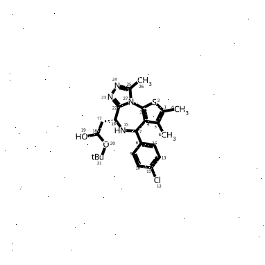 Cc1sc2c(c1C)C(c1ccc(Cl)cc1)N[C@H](CC(O)OC(C)(C)C)c1nnc(C)n1-2